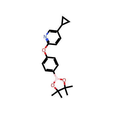 CC1(C)OB(c2ccc(Oc3ccc(C4CC4)cn3)cc2)OC1(C)C